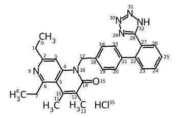 CCc1cc2c(c(CC)n1)c(C)c(C)c(=O)n2Cc1ccc(-c2ccccc2-c2nnn[nH]2)cc1.Cl